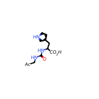 CC(=O)CNC(=O)NC(Cc1cc[nH]c1)C(=O)O